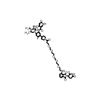 C[C@@H]1CN(c2cc(F)c(C3=CCN(C(=O)CCOCCOCCOCCOCCOCCNc4cccc5c4C(=O)N(C4CCC(=O)NC4=O)C5=O)CC3)cc2NC(=O)c2c[nH]c(=O)cc2C(F)(F)F)C[C@H](C)N1C